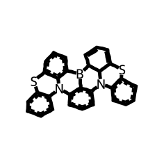 C1=CC2B3c4cccc5c4N(c4ccccc4S5)c4cccc(c43)N3c4ccccc4SC(=C1)C23